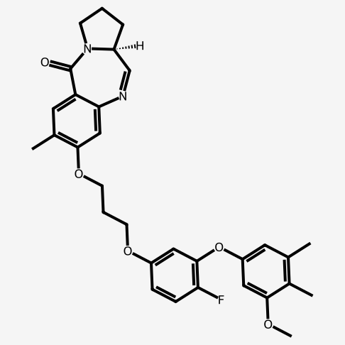 COc1cc(Oc2cc(OCCCOc3cc4c(cc3C)C(=O)N3CCC[C@H]3C=N4)ccc2F)cc(C)c1C